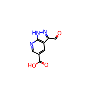 O=Cc1n[nH]c2ncc(C(=O)O)cc12